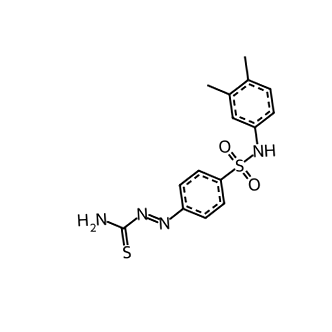 Cc1ccc(NS(=O)(=O)c2ccc(N=NC(N)=S)cc2)cc1C